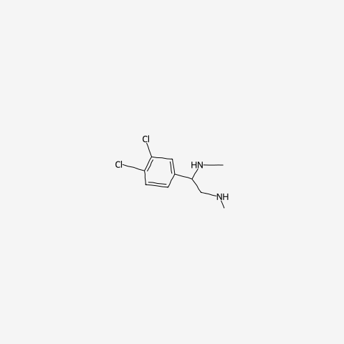 CNCC(NC)c1ccc(Cl)c(Cl)c1